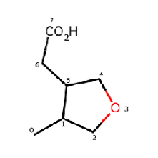 CC1COCC1CC(=O)O